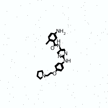 Cc1ccc(N)cc1C(=O)Nc1cnc(Nc2ccc(OCCN3CCCC3)cc2)nc1